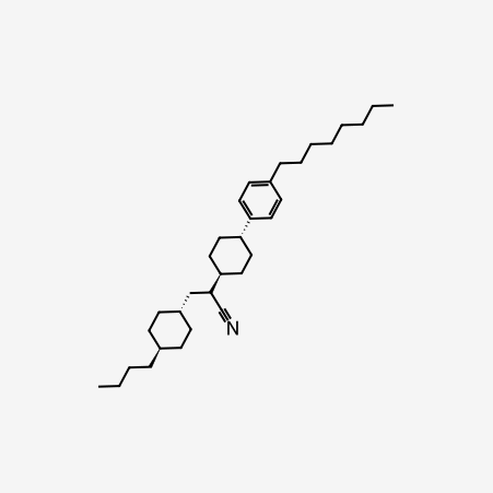 CCCCCCCCc1ccc([C@H]2CC[C@H](C(C#N)C[C@H]3CC[C@H](CCCC)CC3)CC2)cc1